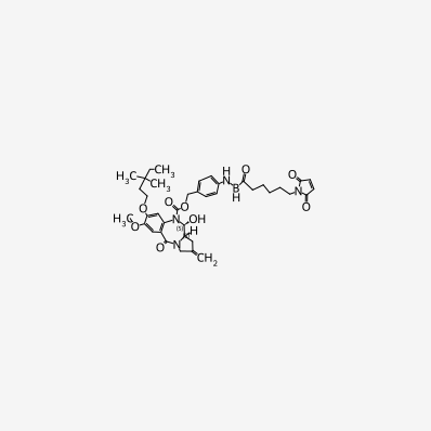 C=C1C[C@H]2[C@H](O)N(C(=O)OCc3ccc(NBC(=O)CCCCCN4C(=O)C=CC4=O)cc3)c3cc(OCCC(C)(C)CC)c(OC)cc3C(=O)N2C1